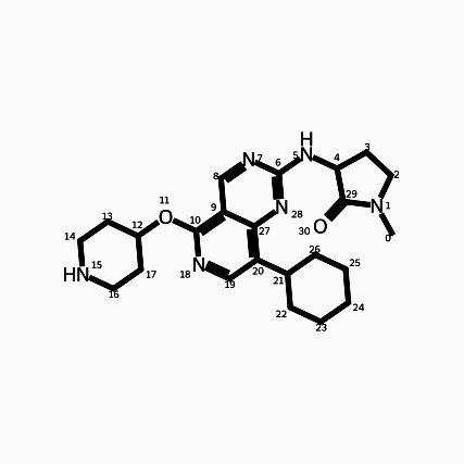 CN1CCC(Nc2ncc3c(OC4CCNCC4)ncc(C4CCCCC4)c3n2)C1=O